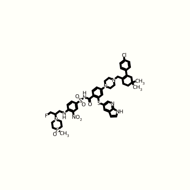 CC1(C)CCC(CN2CCN(c3ccc(C(=O)NS(=O)(=O)c4ccc(NCC(CF)N5CCP(C)(=O)CC5)c([N+](=O)[O-])c4)c(Sc4cnc5[nH]ccc5c4)c3)CC2)=C(c2ccc(Cl)cc2)C1